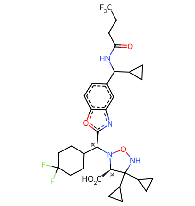 O=C(CCC(F)(F)F)NC(c1ccc2oc([C@H](C3CCC(F)(F)CC3)N3ONC(C4CC4)(C4CC4)[C@H]3C(=O)O)nc2c1)C1CC1